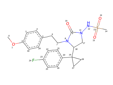 COc1ccc(CCN2C(=O)N(NS(C)(=O)=O)CC2C2(c3ccc(F)cc3)CC2)cc1